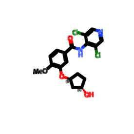 COc1ccc(C(=O)Nc2c(Cl)cncc2Cl)cc1O[C@H]1CC[C@H](O)C1